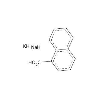 O=C(O)c1cccc2ccccc12.[KH].[NaH]